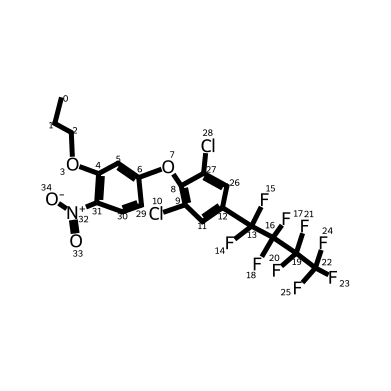 CCCOc1cc(Oc2c(Cl)cc(C(F)(F)C(F)(F)C(F)(F)C(F)(F)F)cc2Cl)ccc1[N+](=O)[O-]